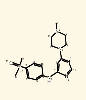 CN1CCN(c2cc(Nc3ccc(P(C)(C)=O)cc3)ncn2)CC1